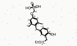 CCOC(=O)Cc1cc(Cc2c(C)cc(OCP(=O)(O)O)cc2C)ccc1O